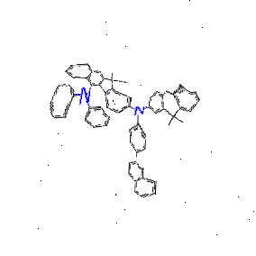 CC1(C)c2ccccc2-c2ccc(N(c3ccc(-c4ccc5ccccc5c4)cc3)c3ccc4c(c3)C(C)(C)c3cc5ccccc5c(N(c5ccccc5)c5ccccc5)c3-4)cc21